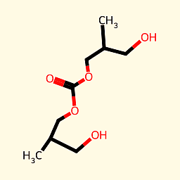 CC(CO)COC(=O)OCC(C)CO